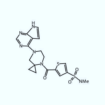 CNS(=O)(=O)c1csc(C(=O)N2CCN(c3ncnc4[nH]ccc34)CC23CC3)c1